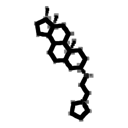 C[C@H]1CCC2C3CCC4C[C@@H](OCCN5CCCC5)CC[C@]4(C)C3CC[C@@]21C